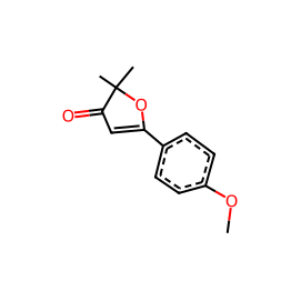 COc1ccc(C2=CC(=O)C(C)(C)O2)cc1